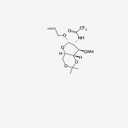 C=CCO[C@H]1O[C@@H]2COC(C)(C)O[C@H]2[C@H](OC)[C@H]1NC(=O)C(F)(F)F